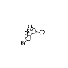 C[S+]([O-])c1c(Cl)cc(-c2ccccc2)cc1-c1ccc(Br)cc1